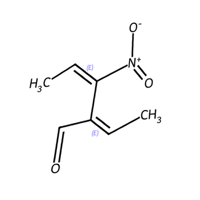 C/C=C(C=O)\C(=C/C)[N+](=O)[O-]